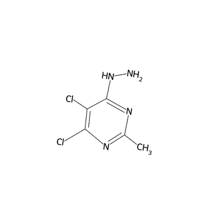 Cc1nc(Cl)c(Cl)c(NN)n1